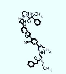 C=N/C(=C\NCCN(CCC)C(=O)Cc1ccccc1)c1ccc(-c2cc3cc(-c4cnc([C@@H]5CCCN5C(=O)[C@H](NC)c5ccccc5)[nH]4)ccc3o2)c(C#N)c1